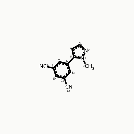 Cn1n[c]cc1-c1cc(C#N)cc(C#N)c1